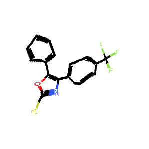 FC(F)(F)c1ccc(-c2nc(S)oc2-c2ccccc2)cc1